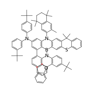 Cc1cc2c(cc1N1c3cc4c(cc3B3c5c(cc(N(c6ccc(C(C)(C)C)cc6)c6cccc(C(C)(C)C)c6)cc51)-c1ccc5c(oc6ccccc65)c1N3c1ccc(C(C)(C)C)cc1-c1ccccc1)Sc1ccccc1C4(C)C)C(C)(C)CCC2(C)C